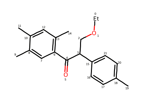 CCOCC(C(=O)c1cc(C)c(C)cc1C)c1ccc(C)cc1